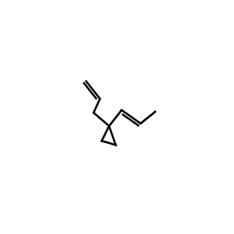 C=CCC1(C=CC)CC1